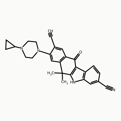 C#Cc1cc2c(cc1N1CCN(C3CC3)CC1)C(C)(C)c1[nH]c3cc(C#N)ccc3c1C2=O